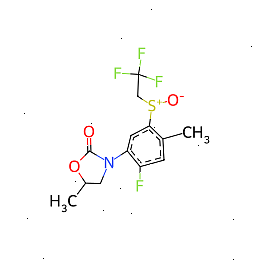 Cc1cc(F)c(N2CC(C)OC2=O)cc1[S+]([O-])CC(F)(F)F